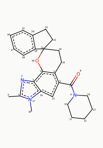 Cc1nc2c3c(c(C(=O)N4CCCCC4)cc2n1C)CCC1(CCc2ccccc21)O3